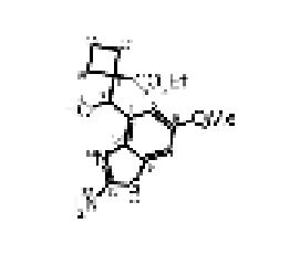 CCOC(=O)C1(C(O)c2cc(OC)cc3sc(N)nc23)CCC1